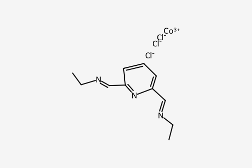 CCN=Cc1cccc(C=NCC)n1.[Cl-].[Cl-].[Cl-].[Co+3]